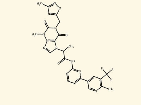 Cc1noc(Cn2c(=O)c3c(ncn3C(C)C(=O)Nc3cncc(-c4cnc(C)c(C(F)(F)F)c4)n3)n(C)c2=O)n1